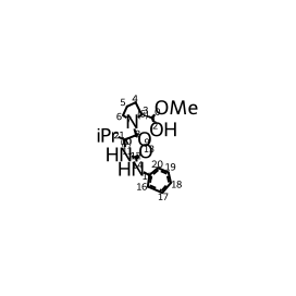 COC(O)[C@@H]1CCCN1C(=O)[C@@H](NC(=O)Nc1ccccc1)C(C)C